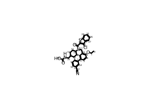 CCOc1ccc(-c2cccc(C#N)c2)cc1CN(C(=O)c1sc2ccccc2c1Cl)C1CCC(CNC(=O)O)CC1